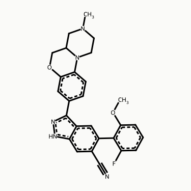 COc1cccc(F)c1-c1cc2c(-c3ccc4c(c3)OCC3CN(C)CCN43)n[nH]c2cc1C#N